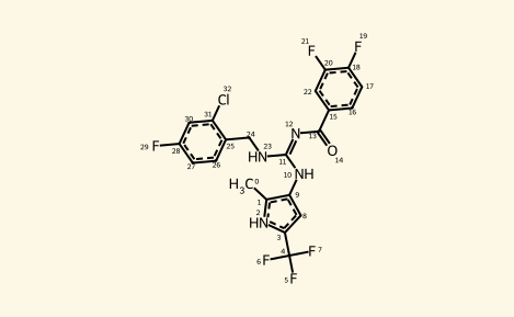 Cc1[nH]c(C(F)(F)F)cc1N/C(=N\C(=O)c1ccc(F)c(F)c1)NCc1ccc(F)cc1Cl